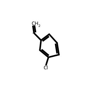 C=[C]c1cccc(Cl)c1